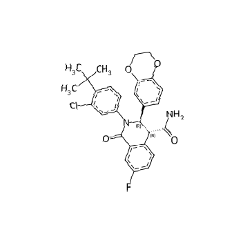 CC(C)(C)c1ccc(N2C(=O)c3cc(F)ccc3[C@@H](C(N)=O)[C@@H]2c2ccc3c(c2)OCCO3)cc1Cl